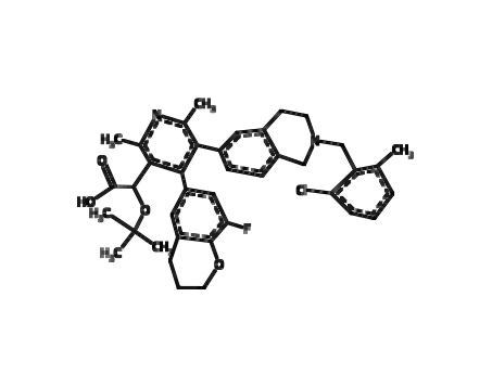 Cc1cccc(Cl)c1CN1CCc2cc(-c3c(C)nc(C)c(C(OC(C)(C)C)C(=O)O)c3-c3cc(F)c4c(c3)CCCO4)ccc2C1